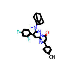 N#Cc1ccc(-c2cc(=O)n3nc(NC4C5CC6CC(C5)CC4C6)c(-c4ccc(F)cc4F)cc3n2)cc1